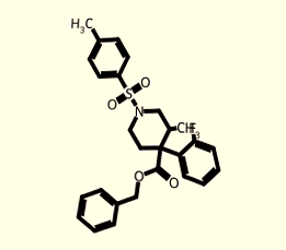 Cc1ccc(S(=O)(=O)N2CCC(C(=O)OCc3ccccc3)(c3ccccc3F)C(C)C2)cc1